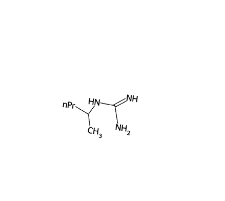 [CH2]CCC(C)NC(=N)N